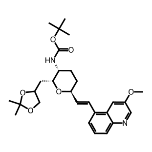 COc1cnc2cccc(C=C[C@@H]3CC[C@@H](NC(=O)OC(C)(C)C)[C@@H](CC4COC(C)(C)O4)O3)c2c1